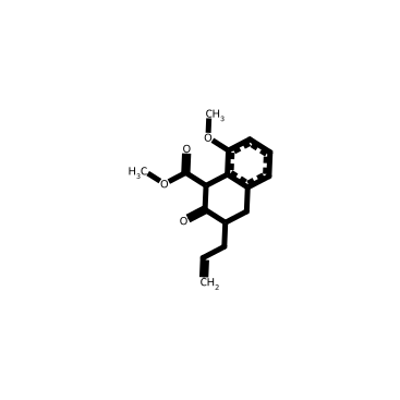 C=CCC1Cc2cccc(OC)c2C(C(=O)OC)C1=O